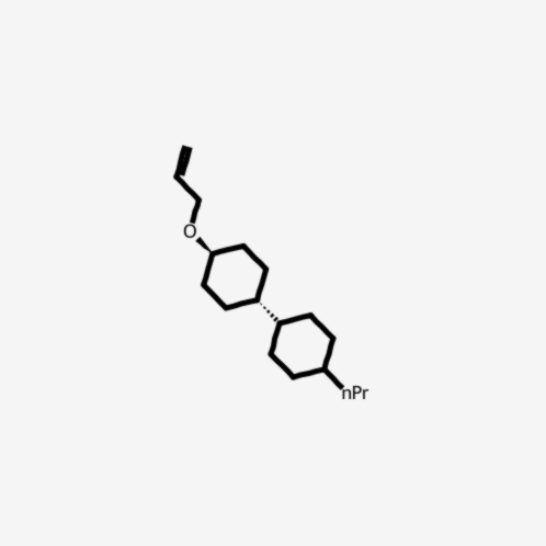 C=CCO[C@H]1CC[C@H](C2CCC(CCC)CC2)CC1